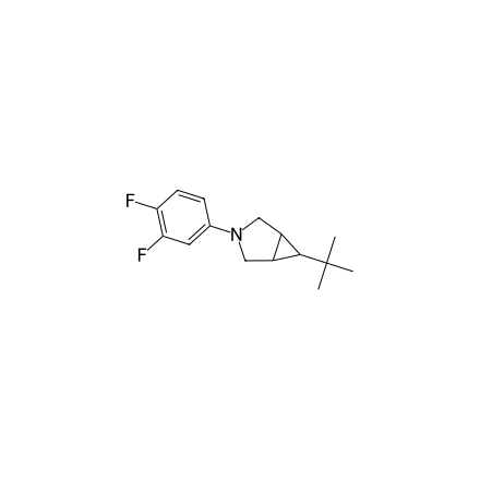 CC(C)(C)C1C2CN(c3ccc(F)c(F)c3)CC21